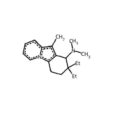 CCC1(CC)CCc2c(c(C)c3ccccn23)C1N(C)C